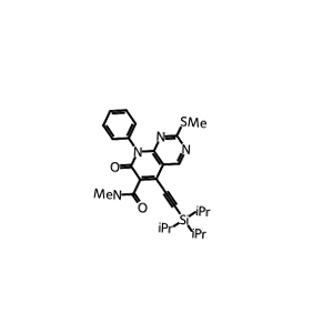 CNC(=O)c1c(C#C[Si](C(C)C)(C(C)C)C(C)C)c2cnc(SC)nc2n(-c2ccccc2)c1=O